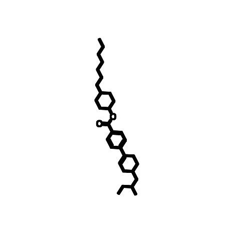 CCCCCCCC1CCC(OC(=O)c2ccc(C3=CCC(CC(C)CC)CC3)cc2)CC1